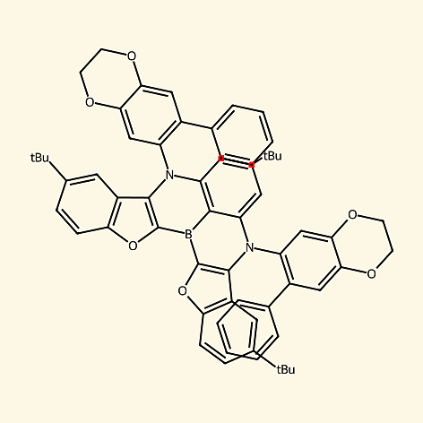 CC(C)(C)c1cc2c3c(c1)N(c1cc4c(cc1-c1ccccc1)OCCO4)c1c(oc4ccc(C(C)(C)C)cc14)B3c1oc3ccc(C(C)(C)C)cc3c1N2c1cc2c(cc1-c1ccccc1)OCCO2